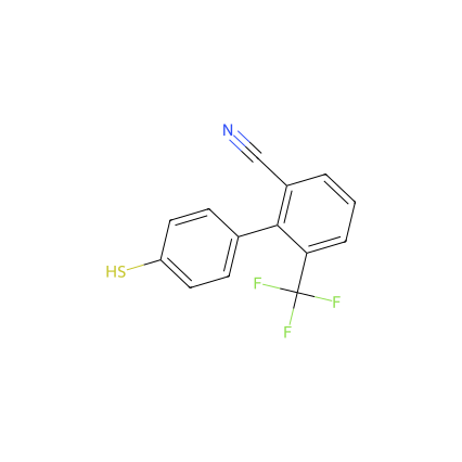 N#Cc1cccc(C(F)(F)F)c1-c1ccc(S)cc1